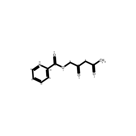 CC(=O)CC(=O)COC(=O)c1ccccn1